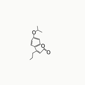 CCCc1cc(=O)oc2cc(OC(C)C)ccc12